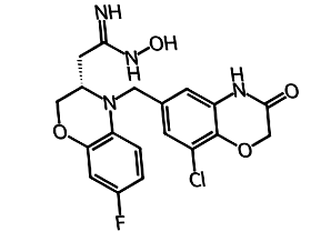 N=C(C[C@H]1COc2cc(F)ccc2N1Cc1cc(Cl)c2c(c1)NC(=O)CO2)NO